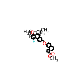 CCC[C@@H](c1cc(COc2ccc3c(c2)[C@@]2(CCC3)CC[C@H]2C(=O)OC)ccc1-c1cc(OC)ccc1F)C(C)(C)C